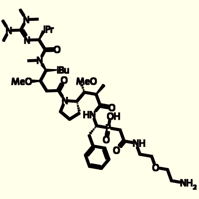 CC[C@H](C)[C@@H]([C@@H](CC(=O)N1CCC[C@H]1[C@H](OC)[C@@H](C)C(=O)N[C@@H](Cc1ccccc1)P(=O)(O)CC(=O)NCCOCCN)OC)N(C)C(=O)[C@@H](N=C(N(C)C)N(C)C)C(C)C